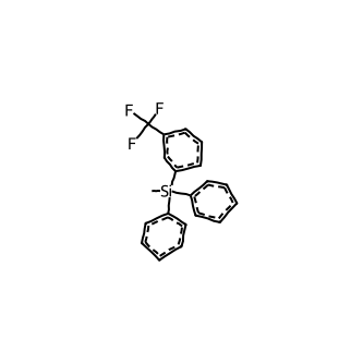 C[Si](c1ccccc1)(c1ccccc1)c1cccc(C(F)(F)F)c1